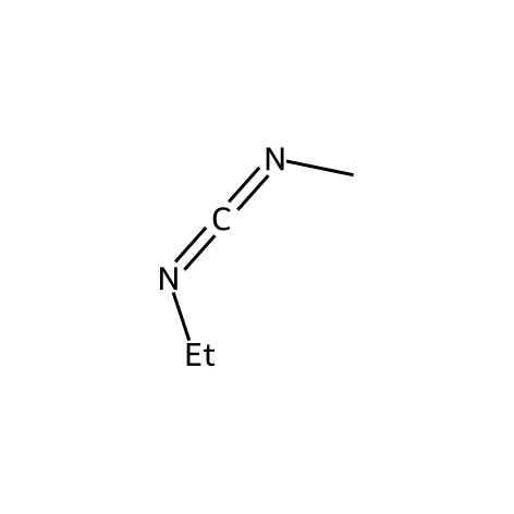 CCN=C=NC